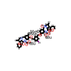 C=C1C[C@H]2[C@H](OC3CCCCO3)N(C(=O)OC(C)(C)C)c3cc(OCc4cc(I)cc(COc5cc6c(cc5OC)C(=O)N5CC(=C)C[C@H]5C(OC5CCCCO5)N6C(=O)OC(C)(C)C)c4)c(OC)cc3CN2C1